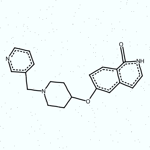 O=c1[nH]ccc2cc(OC3CCN(Cc4cccnc4)CC3)ccc12